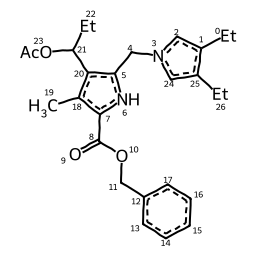 CCc1cn(Cc2[nH]c(C(=O)OCc3ccccc3)c(C)c2C(CC)OC(C)=O)cc1CC